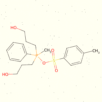 Cc1ccc(S(=O)(=O)OP(C)(CCCO)(CCCO)c2ccccc2)cc1